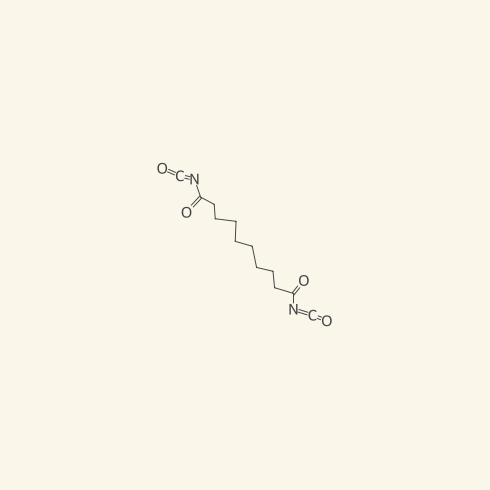 O=C=NC(=O)CCCCCCCCC(=O)N=C=O